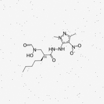 CCCCC[C@@H](CN(O)C=O)C(=O)NNc1c([N+](=O)[O-])c(C)nn1C